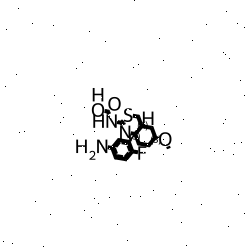 CO[C@H]1CC[C@]2(c3cc(N)ccc3F)N=C(NC(=O)O)SC[C@@H]2C1